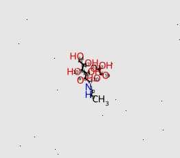 CCCNCC(=O)[C@@H](O)[C@H](O)[C@H](O)CO.O=C(O)C(=O)O